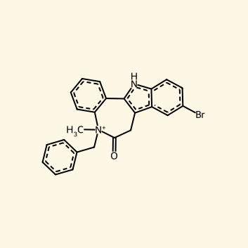 C[N+]1(Cc2ccccc2)C(=O)Cc2c([nH]c3ccc(Br)cc23)-c2ccccc21